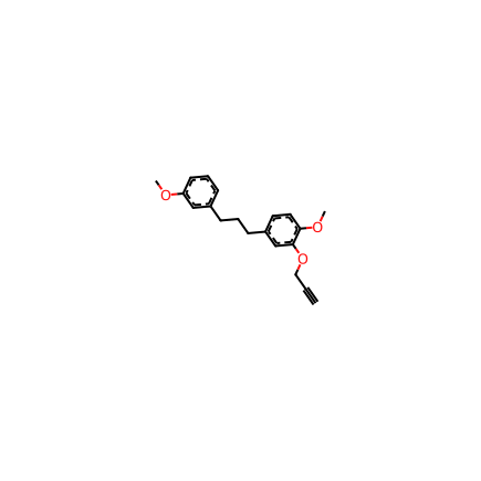 C#CCOc1cc(CCCc2cccc(OC)c2)ccc1OC